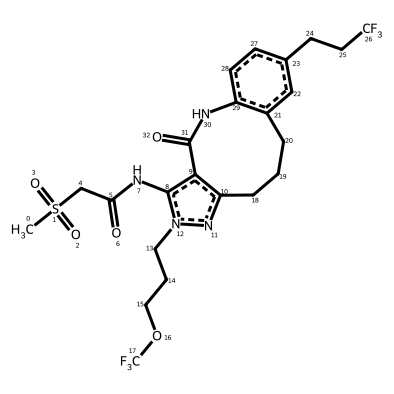 CS(=O)(=O)CC(=O)Nc1c2c(nn1CCCOC(F)(F)F)CCCc1cc(CCC(F)(F)F)ccc1NC2=O